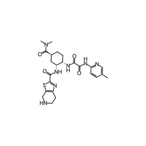 Cc1ccc(NC(=O)C(=O)N[C@H]2CC[C@H](C(=O)N(C)C)C[C@H]2NC(=O)c2nc3c(s2)CNCC3)nc1